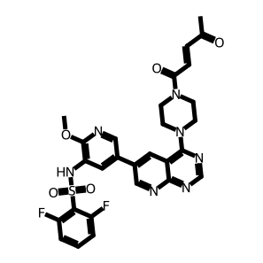 COc1ncc(-c2cnc3ncnc(N4CCN(C(=O)/C=C/C(C)=O)CC4)c3c2)cc1NS(=O)(=O)c1c(F)cccc1F